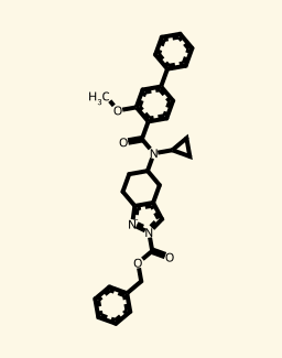 COc1cc(-c2ccccc2)ccc1C(=O)N(C1CC1)C1CCc2nn(C(=O)OCc3ccccc3)cc2C1